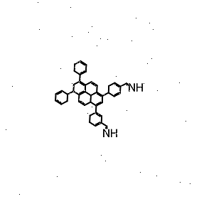 N=CC1=CCCC(C2=CC(C3C=CC(C=N)=CC3)=C3C=CC4=C(C5=CC=CCC5)CC(C5C=CC=CC5)C5=C4C3C2C=C5)=C1